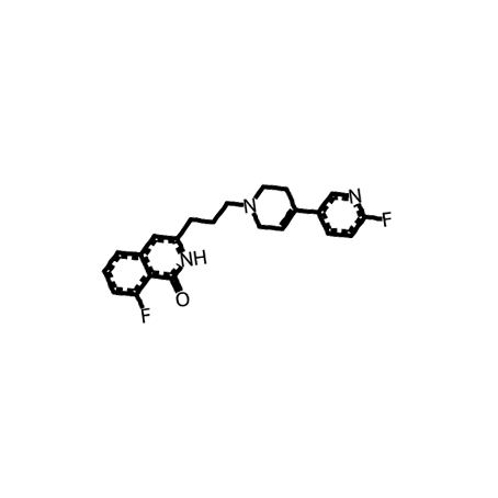 O=c1[nH]c(CCCN2CC=C(c3ccc(F)nc3)CC2)cc2cccc(F)c12